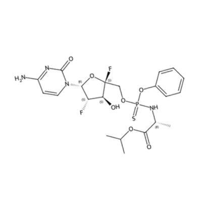 CC(C)OC(=O)[C@@H](C)NP(=S)(OC[C@@]1(F)O[C@@H](n2ccc(N)nc2=O)[C@@H](F)[C@@H]1O)Oc1ccccc1